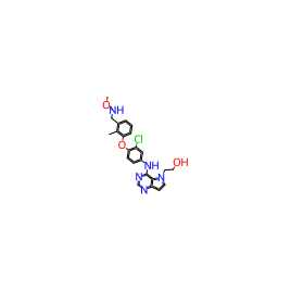 CONCc1cccc(Oc2ccc(Nc3ncnc4ccn(CCO)c34)cc2Cl)c1C